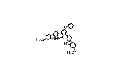 COc1ccc2c3c([nH]c2c1)C(CC(CC1=NCCc2c1[nH]c1cc(OC)ccc21)c1ccc(Oc2ccccc2)cc1)=NCC3